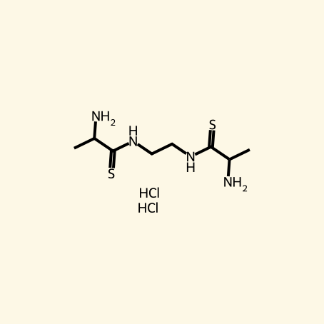 CC(N)C(=S)NCCNC(=S)C(C)N.Cl.Cl